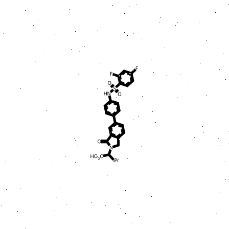 CC(C)C(C(=O)O)N1Cc2ccc(-c3ccc(NS(=O)(=O)c4ccc(F)cc4F)cc3)cc2C1=O